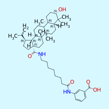 C=C(C)[C@@H]1CC[C@]2(C(=O)NCCCCCCCC(=O)Nc3cccc(C(=O)O)c3)CC[C@]3(C)[C@H](CCC4[C@@]5(C)CC[C@H](O)C(C)(C)[C@@H]5CC[C@]43C)[C@@H]12